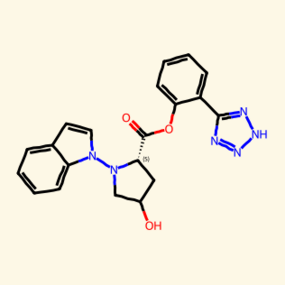 O=C(Oc1ccccc1-c1nn[nH]n1)[C@@H]1CC(O)CN1n1ccc2ccccc21